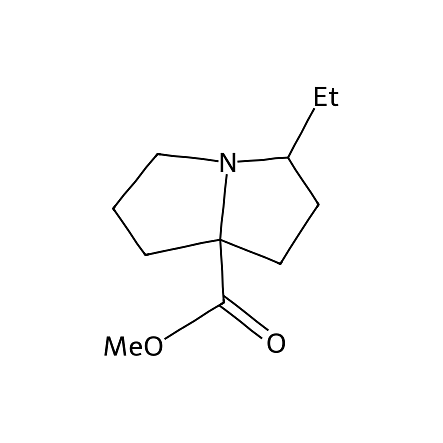 CCC1CCC2(C(=O)OC)CCCN12